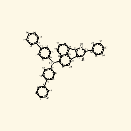 c1ccc(-c2ccc(N(c3ccc(-c4ccccc4)cc3)c3ccc4c5c(cccc35)-c3nc(-c5ccccc5)sc3-4)cc2)cc1